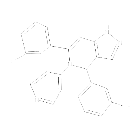 FC(F)(F)c1cccc(C2=Cc3[nH]ncc3C(c3cccc(C(F)(F)F)c3)N2c2ccncc2)c1